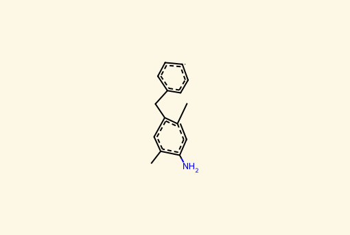 Cc1cc(Cc2cc[c]cc2)c(C)cc1N